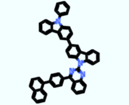 c1ccc(-n2c3ccccc3c3cc(-c4ccc5c(c4)c4ccccc4n5-c4nc(-c5ccc(-c6cccc7ccccc67)cc5)c5ccccc5n4)ccc32)cc1